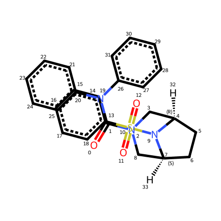 O=C(N1C[C@H]2CC[C@@H](C1)N2S(=O)(=O)c1ccccc1)N(c1ccccc1)c1ccccc1